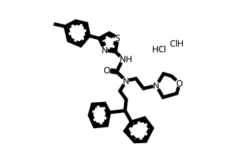 Cc1ccc(-c2csc(NC(=O)N(CCC(c3ccccc3)c3ccccc3)CCN3CCOCC3)n2)cc1.Cl.Cl